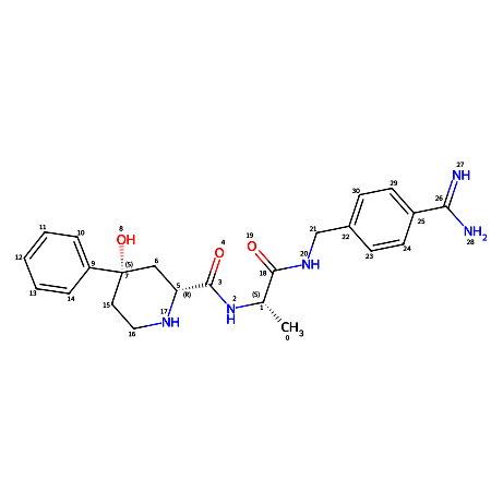 C[C@H](NC(=O)[C@H]1C[C@](O)(c2ccccc2)CCN1)C(=O)NCc1ccc(C(=N)N)cc1